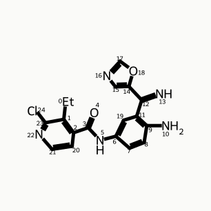 CCc1c(C(=O)Nc2ccc(N)c(C(=N)c3cnco3)c2)ccnc1Cl